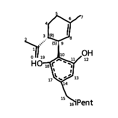 C=C(C)[C@@H]1CCC(C)=C[C@H]1c1c(O)cc(CC(C)CCC)cc1O